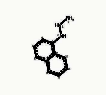 NNNc1cccc2ccccc12